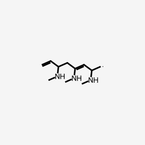 [CH2]C(C=C(CC(C=C)NC)NC)NC